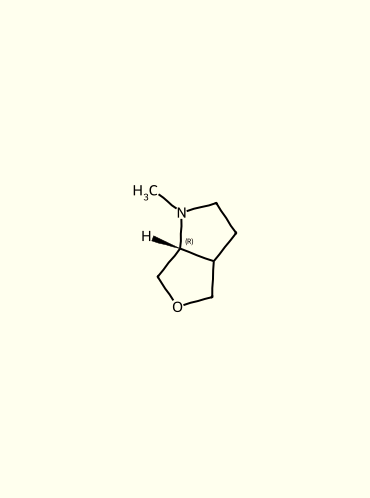 CN1CCC2COC[C@@H]21